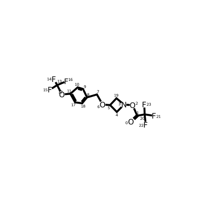 O=C(ON1CC(OCc2ccc(OC(F)(F)F)cc2)C1)C(F)(F)F